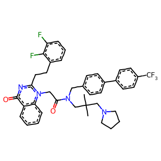 CC(C)(CN1CCCC1)CN(Cc1ccc(-c2ccc(C(F)(F)F)cc2)cc1)C(=O)Cn1c(CCc2cccc(F)c2F)nc(=O)c2ccccc21